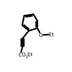 CCOC(=O)C#Cc1ccccc1OCC